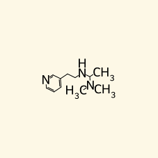 CC(NCCc1cccnc1)N(C)C